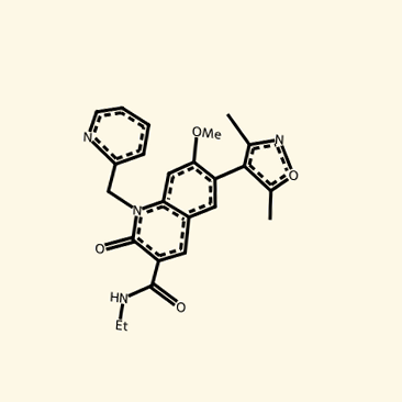 CCNC(=O)c1cc2cc(-c3c(C)noc3C)c(OC)cc2n(Cc2ccccn2)c1=O